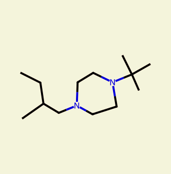 CCC(C)CN1CCN(C(C)(C)C)CC1